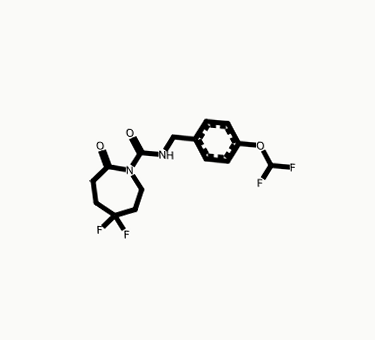 O=C1[CH]CC(F)(F)CCN1C(=O)NCc1ccc(OC(F)F)cc1